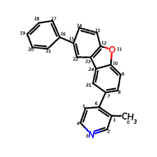 Cc1cnccc1-c1ccc2oc3ccc(-c4cc[c]cc4)cc3c2c1